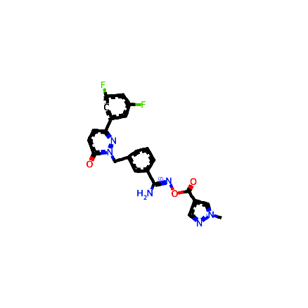 Cn1cc(C(=O)O/N=C(\N)c2cccc(Cn3nc(-c4cc(F)cc(F)c4)ccc3=O)c2)cn1